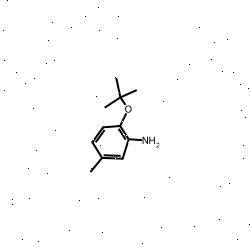 Cc1ccc(OC(C)(C)C)c(N)c1